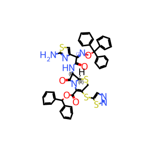 Nc1nc(/C(=N/OC(c2ccccc2)(c2ccccc2)c2ccccc2)C(=O)N[C@@H]2C(=O)N3C(C(=O)OC(c4ccccc4)c4ccccc4)=C(Sc4cnns4)CS[C@H]23)cs1